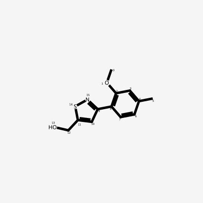 COc1cc(C)ccc1-c1cc(CO)sn1